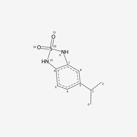 CC(C)c1ccc2c(c1)NS(=O)(=O)N2